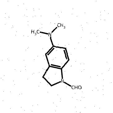 CN(C)c1ccc2c(c1)CCN2C=O